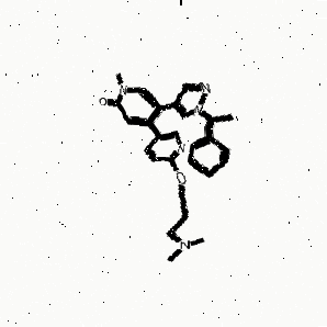 CC(c1ccccc1)n1cc(-c2cn(C)c(=O)cc2-c2ccc(OCCCN(C)C)nc2)cn1